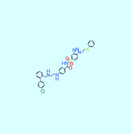 O=C(NS(=O)(=O)c1ccc2c(c1)nnn2CCSc1ccccc1)c1ccc(NCCNCc2ccccc2-c2ccc(Cl)cc2)cc1